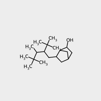 CC(C(CC1CC2CC(O)C1C2)C(C)(C)C)C(C)(C)C